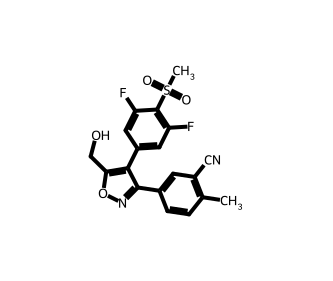 Cc1ccc(-c2noc(CO)c2-c2cc(F)c(S(C)(=O)=O)c(F)c2)cc1C#N